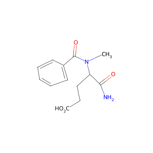 CN(C(=O)c1ccccc1)C(CCC(=O)O)C(N)=O